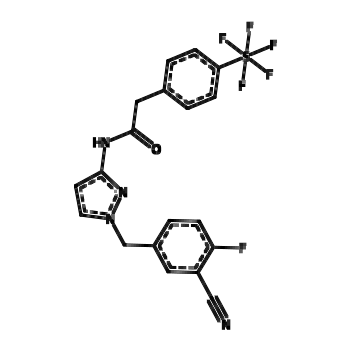 N#Cc1cc(Cn2ccc(NC(=O)Cc3ccc(S(F)(F)(F)(F)F)cc3)n2)ccc1F